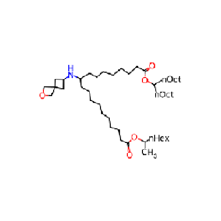 CCCCCCCCC(CCCCCCCC)OC(=O)CCCCCCCC(CCCCCCCCCC(=O)OC(C)CCCCCC)NC1CC2(COC2)C1